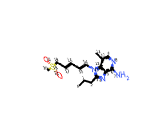 CCCc1nc2c(N)ncc(C)c2n1CCCCCS(C)(=O)=O